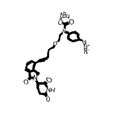 CC(C)(C)OC(=O)N(CCOCCCC#Cc1cccc2c1CN(C1CCC(=O)NC1=O)C2=O)C1CCC(N=[N+]=[N-])CC1